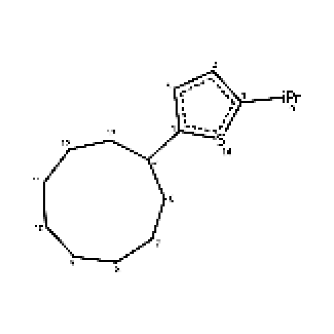 CC(C)c1ccc(C2CCCCCCCC2)s1